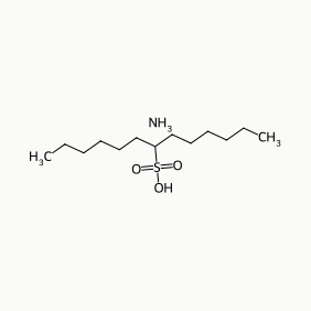 CCCCCCC(CCCCCC)S(=O)(=O)O.N